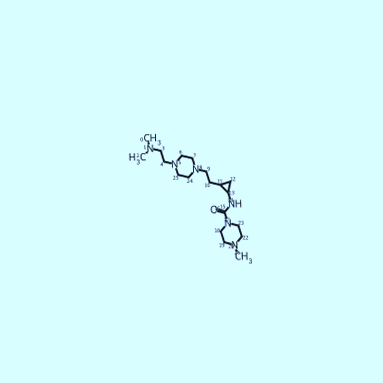 CN(C)CCN1CCN(CCC2CC2NC(=O)N2CCN(C)CC2)CC1